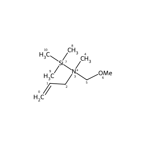 C=CC[N+](C)(COC)[Si](C)(C)C